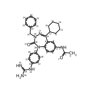 CC(=O)Nc1ccc2c(c1)C(C1CCCCC1)=NN(Cc1ccccc1)C(=O)N2c1ccc(NC(=N)N)cc1